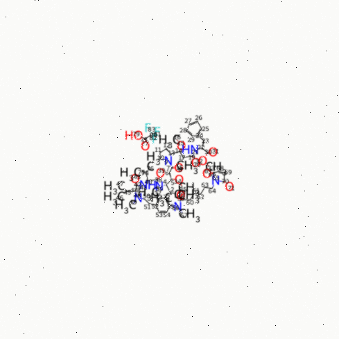 CC[C@H](C)[C@@H]([C@@H](CC(=O)N1CCC[C@H]1[C@H](OC)[C@@H](C)C(=O)N[C@@H](Cc1ccccc1)C(=O)OC)OC)N(C)C(=O)[C@@H](NC(=O)[C@H](C(C)C)N(C)CCc1ccc(N(C)C(=O)CCCCCN2C(=O)C=CC2=O)cc1)C(C)C.O=C(O)C(F)(F)F